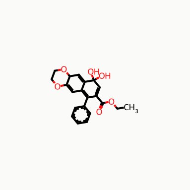 CCOC(=O)C1=CC(O)(O)C2=CC3OCCOC3=CC2=C1c1ccccc1